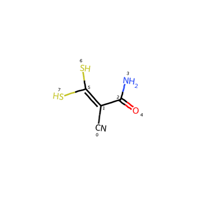 N#CC(C(N)=O)=C(S)S